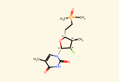 Cc1cn([C@@H]2O[C@H](CCP(C)(C)=O)[C@@H](C)[C@H]2F)c(=O)[nH]c1=O